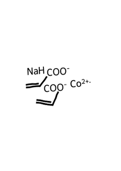 C=CC(=O)[O-].C=CC(=O)[O-].[Co+2].[NaH]